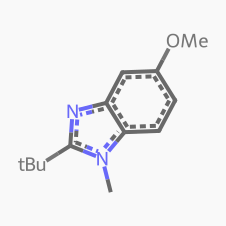 COc1ccc2c(c1)nc(C(C)(C)C)n2C